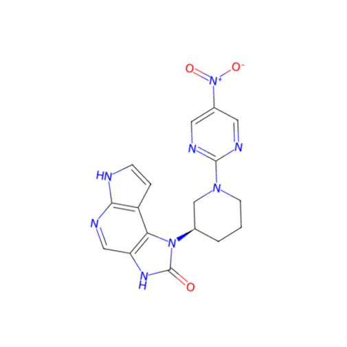 O=c1[nH]c2cnc3[nH]ccc3c2n1[C@@H]1CCCN(c2ncc([N+](=O)[O-])cn2)C1